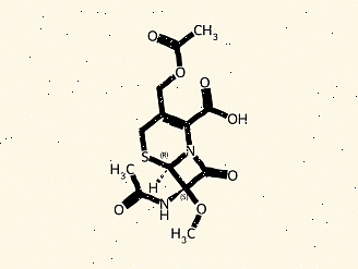 CO[C@@]1(NC(C)=O)C(=O)N2C(C(=O)O)=C(COC(C)=O)CS[C@@H]21